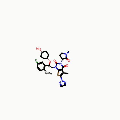 COc1ccc(F)cc1[C@H](Cn1c(=O)n([C@@H]2CCN(C)C2=O)c(=O)c2c(C)c(-n3nccn3)sc21)O[C@H]1CC[C@@H](O)CC1